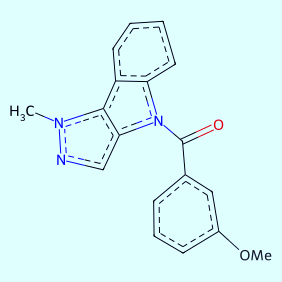 COc1cccc(C(=O)n2c3ccccc3c3c2cnn3C)c1